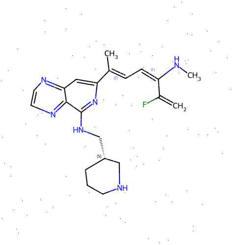 C=C(F)/C(=C\C=C(/C)c1cc2nccnc2c(NC[C@H]2CCCNC2)n1)NC